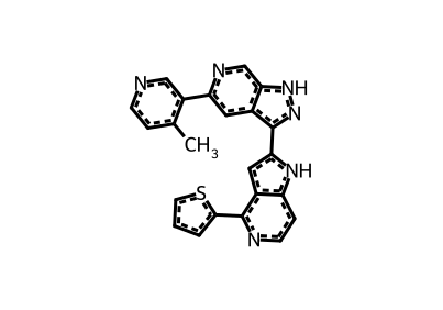 Cc1ccncc1-c1cc2c(-c3cc4c(-c5cccs5)nccc4[nH]3)n[nH]c2cn1